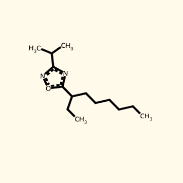 CCCCCCC(CC)c1nc(C(C)C)no1